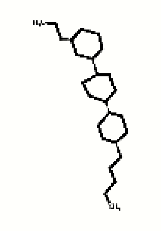 CCCCC[C@H]1CC[C@H](C2CCC([C@@H]3CCC[C@H](CCC)C3)CC2)CC1